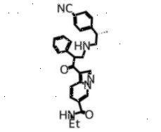 CCNC(=O)c1ccc2c(C(=O)C(CNC[C@@H](C)c3ccc(C#N)cc3)c3ccccc3)cnn2c1